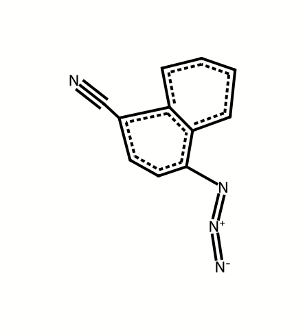 N#Cc1ccc(N=[N+]=[N-])c2ccccc12